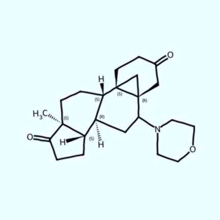 C[C@]12CC[C@H]3[C@@H](CC(N4CCOCC4)[C@]45CC(=O)CC[C@]34C5)[C@@H]1CCC2=O